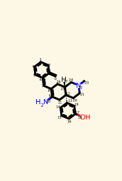 C=c1cccc/c1=C/C1=C(N)C[C@]2(c3cccc(O)c3)CCN(C)C[C@H]2C1